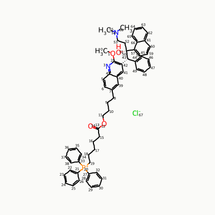 COc1nc2ccc(CCCCOC(=O)CCCCC[P+](c3ccccc3)(c3ccccc3)c3ccccc3)cc2cc1[C@@H](c1ccccc1)[C@@](O)(CCN(C)C)c1cccc2ccccc12.[Cl-]